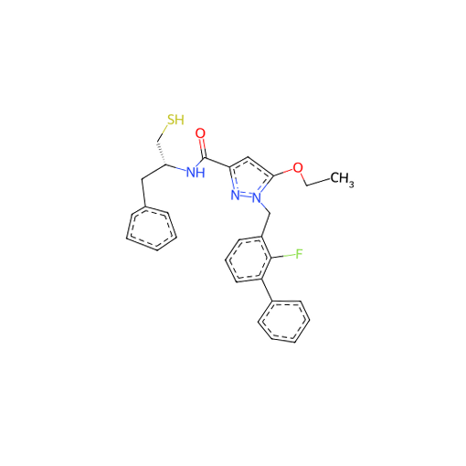 CCOc1cc(C(=O)N[C@@H](CS)Cc2ccccc2)nn1Cc1cccc(-c2ccccc2)c1F